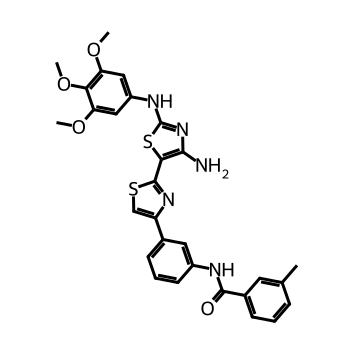 COc1cc(Nc2nc(N)c(-c3nc(-c4cccc(NC(=O)c5cccc(C)c5)c4)cs3)s2)cc(OC)c1OC